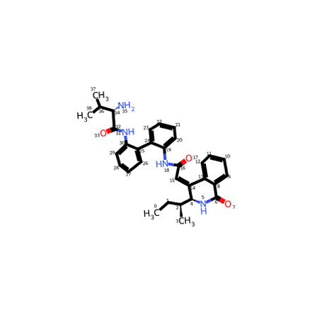 CC[C@H](C)[C@@H]1NC(=O)c2ccccc2C1=CC(=O)Nc1ccccc1-c1ccccc1NC(=O)[C@@H](N)C(C)C